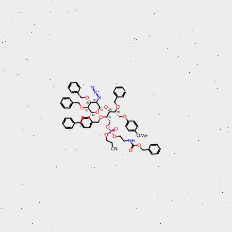 COc1ccc(OC[C@@H](OCc2ccccc2)[C@@H](O[C@@H]2O[C@H](COCc3ccccc3)[C@@H](OCc3ccccc3)[C@H](OCc3ccccc3)[C@H]2N=[N+]=[N-])[C@H](COP(=O)(OCCC#N)OCCNC(=O)OCc2ccccc2)OCc2ccccc2)cc1